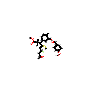 COC(=O)C(C)(C)C(/C(=C/C(F)CC(C)=O)SC)c1ccc(C)c(COCc2ccc(OC)cc2)c1